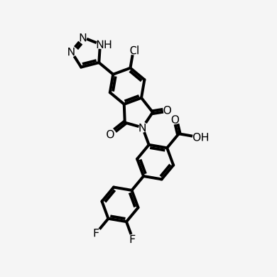 O=C(O)c1ccc(-c2ccc(F)c(F)c2)cc1N1C(=O)c2cc(Cl)c(-c3cnn[nH]3)cc2C1=O